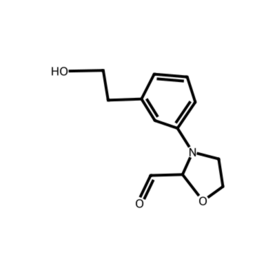 O=CC1OCCN1c1cccc(CCO)c1